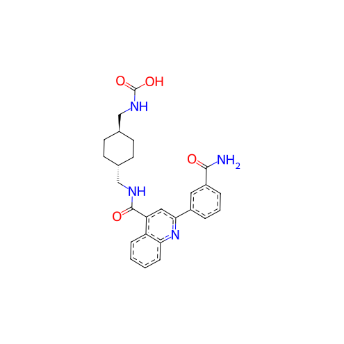 NC(=O)c1cccc(-c2cc(C(=O)NC[C@H]3CC[C@H](CNC(=O)O)CC3)c3ccccc3n2)c1